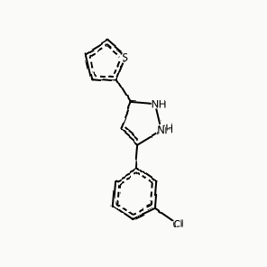 Clc1cccc(C2=CC(c3cccs3)NN2)c1